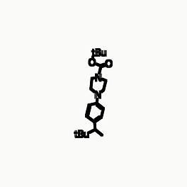 CC(c1ccc(N2CCN(C(=O)OC(C)(C)C)CC2)cc1)C(C)(C)C